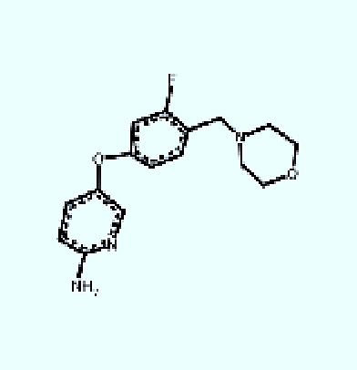 Nc1ccc(Oc2ccc(CN3CCOCC3)c(F)c2)cn1